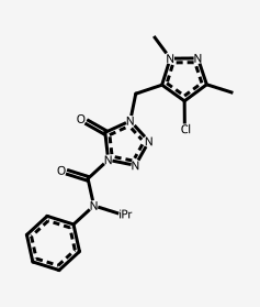 Cc1nn(C)c(Cn2nnn(C(=O)N(c3ccccc3)C(C)C)c2=O)c1Cl